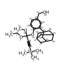 CCOC(C#C[Si](C)(C)C)(OC)Oc1ccc(CO)cc1C12CC3CC(CC(C3)C1)C2